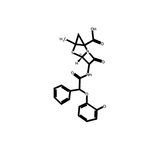 CC12CC1(C(=O)O)N1C(=O)C(NC(=O)C(Oc3ccccc3Cl)c3ccccc3)[C@@H]1S2